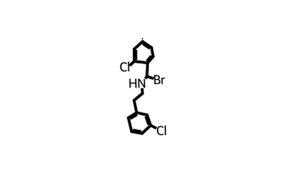 Clc1cccc(CCNC(Br)c2cc[c]cc2Cl)c1